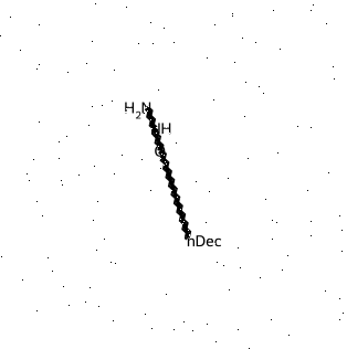 CCCCCCCCCCCCCCCCCCCCCCCCCCCCCCOCCCCNCCCCN